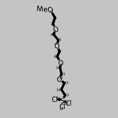 COCCOCCOCCOCCOCCCS(Cl)(Cl)Cl